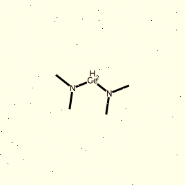 C[N](C)[GeH2][N](C)C